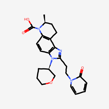 C[C@H]1CCc2c(ccc3c2nc(CCn2ccccc2=O)n3[C@@H]2CCCOC2)N1C(=O)O